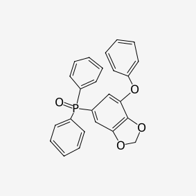 O=P(c1ccccc1)(c1ccccc1)c1cc2c(c(Oc3ccccc3)c1)OCO2